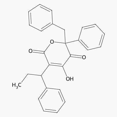 CCC(C1=C(O)C(=O)C(Cc2ccccc2)(c2ccccc2)OC1=O)c1ccccc1